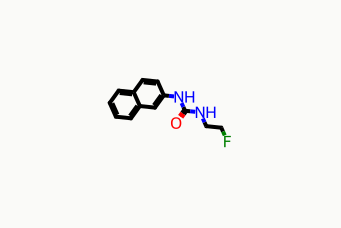 O=C(NCCF)Nc1ccc2ccccc2c1